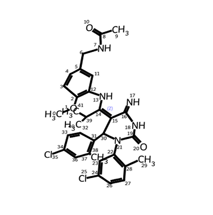 COc1ccc(CNC(C)=O)cc1N/C(=C1\C(=N)NC(=O)N(c2cc(Cl)ccc2C)C1c1ccc(Cl)cc1C)C(C)C